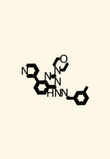 Cc1cccc(C=NNc2nc(N3CCOCC3)nc3c(-c4cccnc4)cccc23)c1